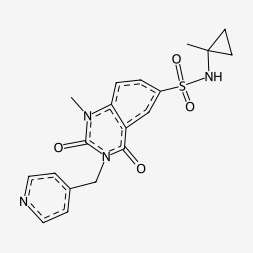 Cn1c(=O)n(Cc2ccncc2)c(=O)c2cc(S(=O)(=O)NC3(C)CC3)ccc21